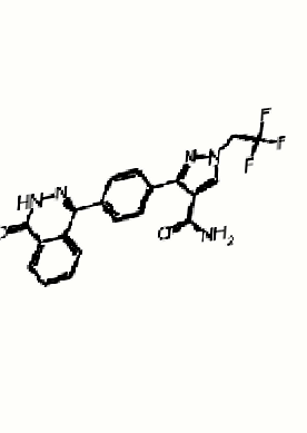 NC(=O)c1cn(CC(F)(F)F)nc1-c1ccc(-c2n[nH]c(=O)c3ccccc23)cc1